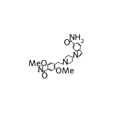 COc1cc(C(=O)N(C)C)c(OC)cc1CCN1CCC(n2ccc3ccc(C(N)=O)cc32)CC1